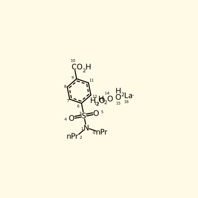 CCCN(CCC)S(=O)(=O)c1ccc(C(=O)O)cc1.O.O.O.[La]